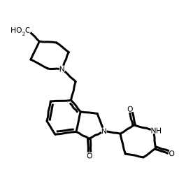 O=C1CCC(N2Cc3c(CN4CCC(C(=O)O)CC4)cccc3C2=O)C(=O)N1